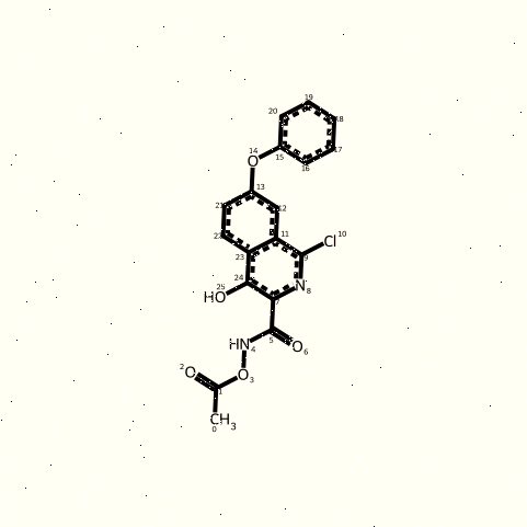 CC(=O)ONC(=O)c1nc(Cl)c2cc(Oc3ccccc3)ccc2c1O